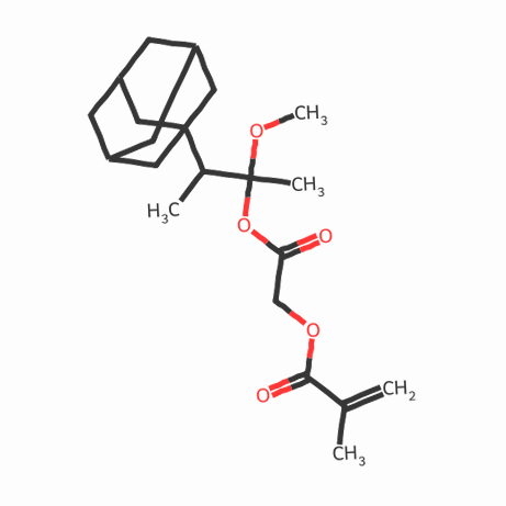 C=C(C)C(=O)OCC(=O)OC(C)(OC)C(C)C12CC3CC(CC(C3)C1)C2